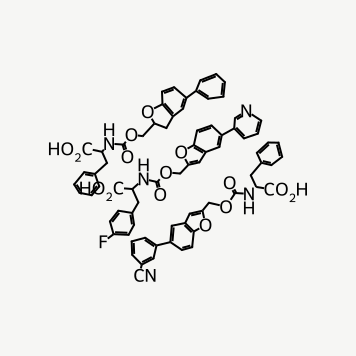 N#Cc1cccc(-c2ccc3oc(COC(=O)NC(Cc4ccccc4)C(=O)O)cc3c2)c1.O=C(NC(Cc1ccc(F)cc1)C(=O)O)OCc1cc2cc(-c3cccnc3)ccc2o1.O=C(NC(Cc1ccccc1)C(=O)O)OCC1Cc2cc(-c3ccccc3)ccc2O1